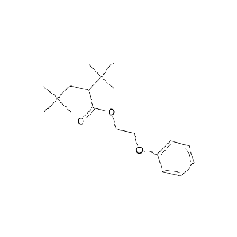 CC(C)(C)CC(C(=O)OCCOc1ccccc1)C(C)(C)C